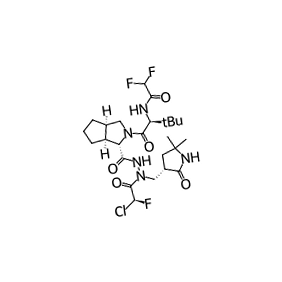 CC1(C)C[C@@H](CN(NC(=O)[C@@H]2[C@H]3CCC[C@H]3CN2C(=O)[C@@H](NC(=O)C(F)F)C(C)(C)C)C(=O)[C@@H](F)Cl)C(=O)N1